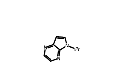 CC(C)n1ccc2nccnc21